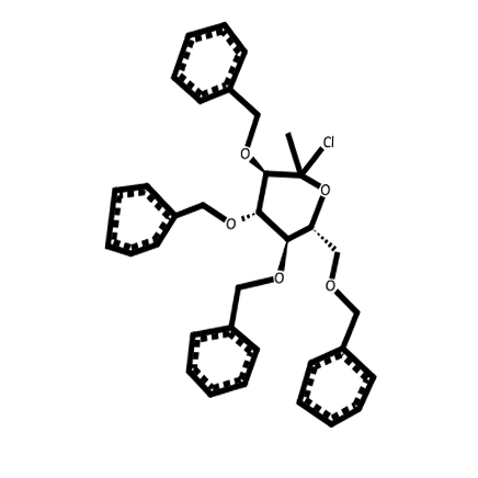 CC1(Cl)O[C@H](COCc2ccccc2)[C@@H](OCc2ccccc2)[C@H](OCc2ccccc2)[C@H]1OCc1ccccc1